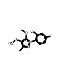 COc1c(SS)c(C)nn1-c1ccc(Cl)cc1Cl